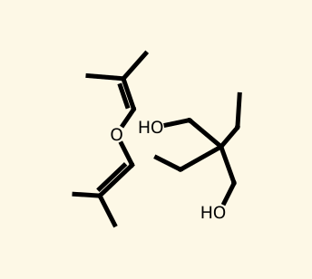 CC(C)=COC=C(C)C.CCC(CC)(CO)CO